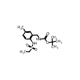 CCS(=O)(=O)Nc1ccc(C)cc1CNC(=O)OC(C)(C)C